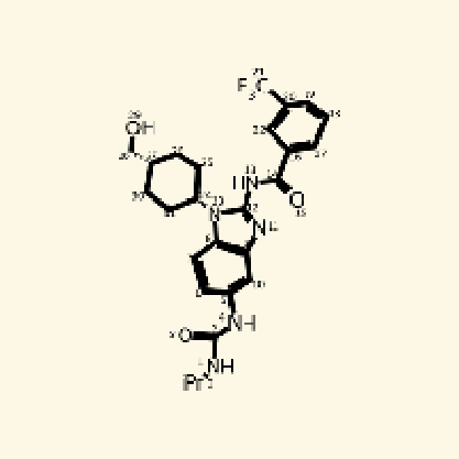 CC(C)NC(=O)Nc1ccc2c(c1)nc(NC(=O)c1cccc(C(F)(F)F)c1)n2[C@H]1CC[C@@H](CO)CC1